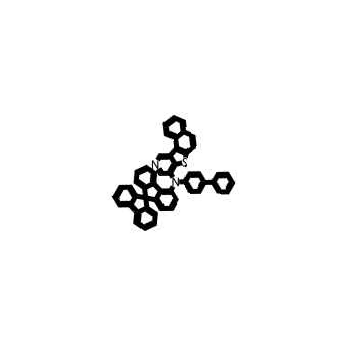 c1ccc(-c2ccc(N(c3cccc4c3-c3ccccc3C43c4ccccc4-c4ccccc43)c3cncc4c3sc3ccc5ccccc5c34)cc2)cc1